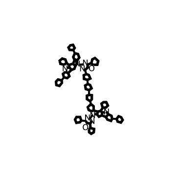 c1ccc(-c2ccc3c(c2)c2c4c5ccccc5n5c6cc(-c7ccccc7)ccc6c(cc2n3-c2nc(-c3ccc(-c6ccc(-c7ccc(-c8ccc9c(c8)c8c%10c%11ccccc%11n%11c%12cc(-c%13ccccc%13)ccc%12c(cc8n9-c8nc(-c9ccccc9)c9oc%12ccccc%12c9n8)c%10%11)cc7)cc6)cc3)c3oc6ccccc6c3n2)c45)cc1